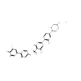 CCCCC1CCC(c2ccc(-c3cc(F)c(C(F)(F)Oc4ccc(-c5cc(F)c(F)c(F)c5)c(F)c4)c(F)c3)c(F)c2)CC1